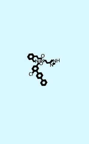 O=C(NCCc1c[nH]cn1)C1Cc2ccccc2CN1C(=O)c1ccc(Cl)c(-c2ccc(-c3ccccc3)cc2)c1